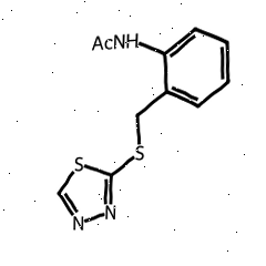 CC(=O)Nc1ccccc1CSc1nncs1